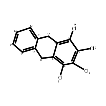 Clc1c(Cl)c(Cl)c2c(c1Cl)[CH]c1ccccc1C2